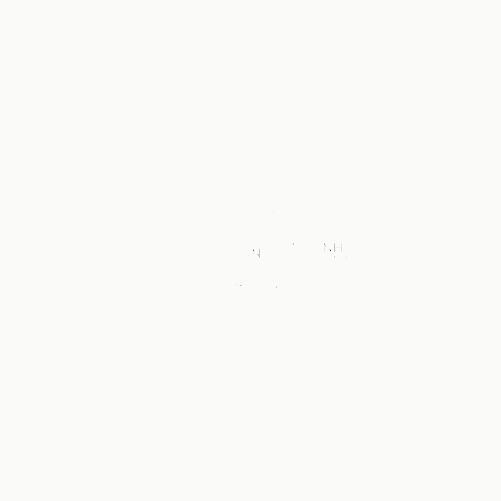 CN1C2CC(N)CC1C1OC12